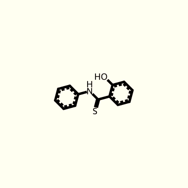 Oc1ccccc1C(=S)Nc1ccccc1